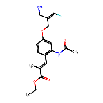 CCOC(=O)/C(C)=C/c1ccc(OC/C(=C\F)CN)cc1NC(C)=O